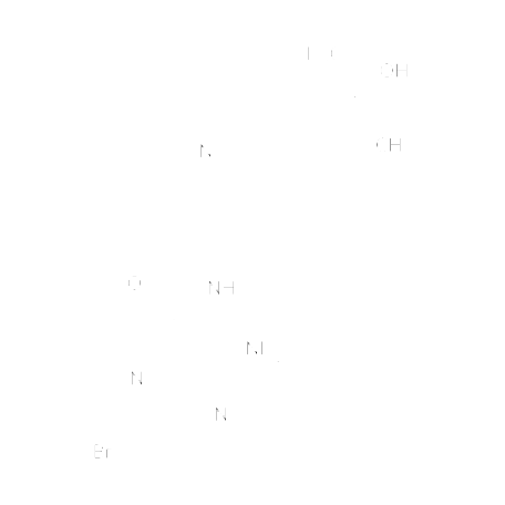 CC(C)(O)C#Cc1cc(NC(=O)c2nc(Br)cnc2N)ccn1